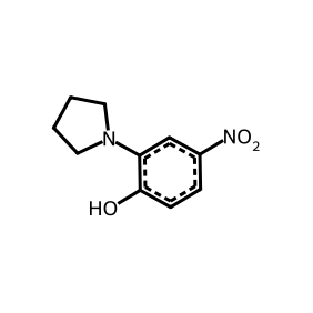 O=[N+]([O-])c1ccc(O)c(N2CCCC2)c1